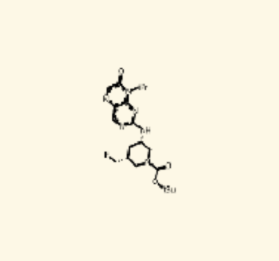 CC(C)n1c(=O)cnc2cnc(N[C@H]3C[C@@H](CF)CN(C(=O)OC(C)(C)C)C3)nc21